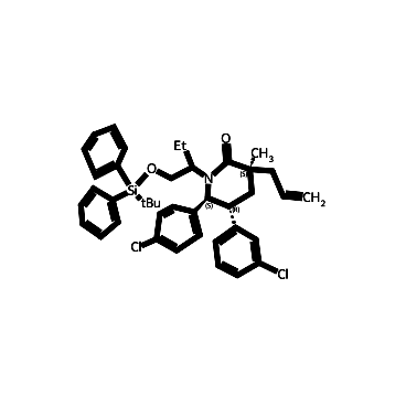 C=CC[C@@]1(C)C[C@H](c2cccc(Cl)c2)[C@@H](c2ccc(Cl)cc2)N(C(CC)CO[Si](c2ccccc2)(c2ccccc2)C(C)(C)C)C1=O